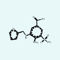 Cc1c(NCc2ccco2)cc(C(=O)O)cc1S(C)(=O)=O